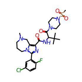 CN1CCCn2c(-c3cc(Cl)ccc3F)nc(C(=O)NC(C(=O)N3CCN(S(C)(=O)=O)CC3)C(C)(C)C)c2C1